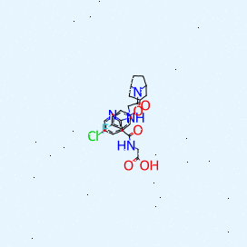 O=C(O)CNC(=O)c1cc(Cl)cnc1NCC(=O)N1C2CCC1CC(Oc1ccc(F)cc1)C2